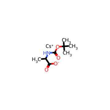 CC(NC(=O)OC(C)(C)C)C(=O)[O-].[Cs+]